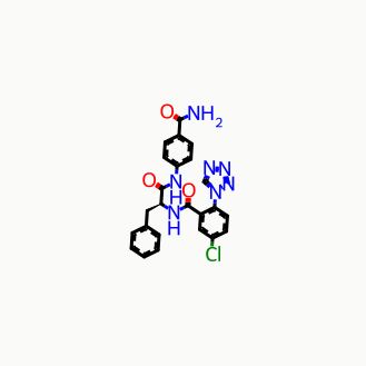 NC(=O)c1ccc(NC(=O)[C@H](Cc2ccccc2)NC(=O)c2cc(Cl)ccc2-n2cnnn2)cc1